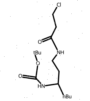 CCCCC(CCNC(=O)CCCl)NC(=O)OC(C)(C)C